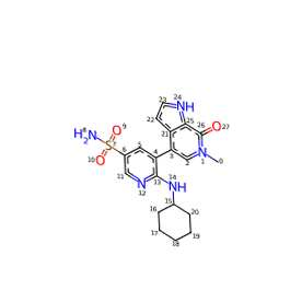 Cn1cc(-c2cc(S(N)(=O)=O)cnc2NC2CCCCC2)c2cc[nH]c2c1=O